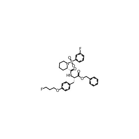 O=C(OCc1ccccc1)[C@H](Cc1ccc(OCCCF)cc1)NC(=O)[C@@H]1CCCCN1S(=O)(=O)c1cccc(F)c1